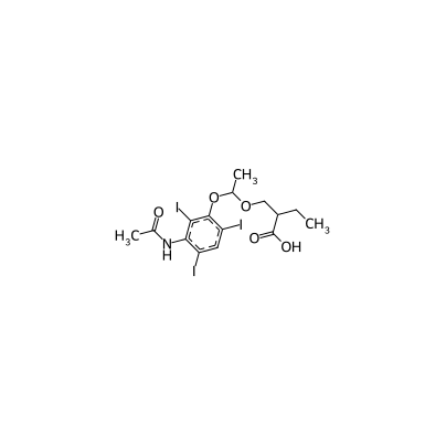 CCC(COC(C)Oc1c(I)cc(I)c(NC(C)=O)c1I)C(=O)O